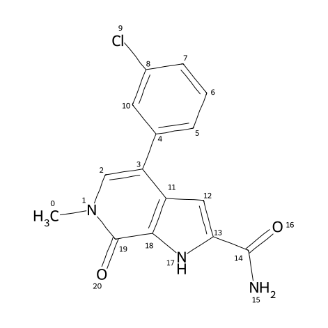 Cn1cc(-c2cccc(Cl)c2)c2cc(C(N)=O)[nH]c2c1=O